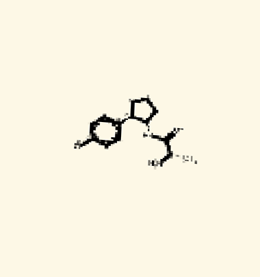 C[C@H](N)C(=O)N[C@H]1CCC[C@@H]1c1ccc(Cl)cc1